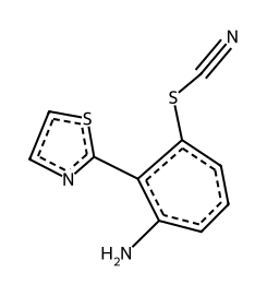 N#CSc1cccc(N)c1-c1nccs1